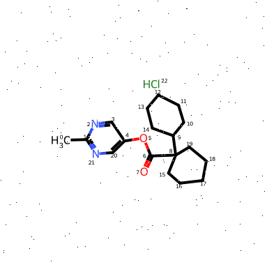 Cc1ncc(OC(=O)C2(C3CCCCC3)CCCCC2)cn1.Cl